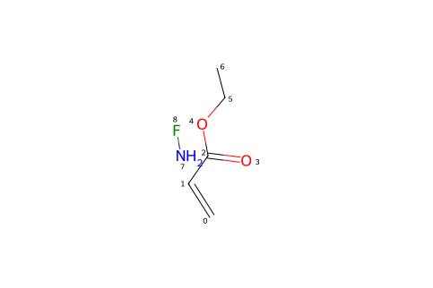 C=CC(=O)OCC.NF